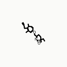 C#CCC1=C(C)C=C(OCC2=NOC(C=O)(CC)CC2)C=CC1C